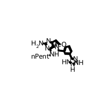 CCCCCNc1nc(N)nc2ccn(Cc3cc(C4=NNNN4)ccc3OC)c12